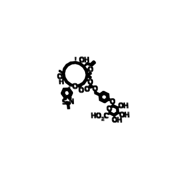 C=CC[C@H]1C(=O)C(C)(C)[C@@H](OC(=O)OCc2ccc(O[C@@H]3O[C@H](C(=O)O)[C@@H](O)[C@H](O)[C@H]3O)cc2)CC(=O)O[C@H](c2ccc3sc(C)nc3c2)C[C@@H]2O[C@]2(C)CCC[C@H](C)[C@@H]1O